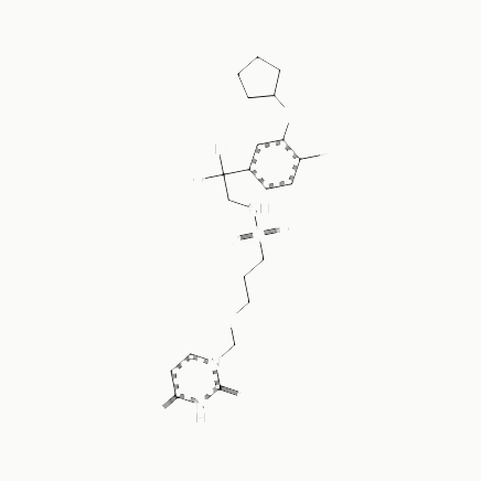 CCC(O)(CNS(=O)(=O)CCCOCn1ccc(=O)[nH]c1=O)c1ccc(F)c(OC2CCCC2)c1